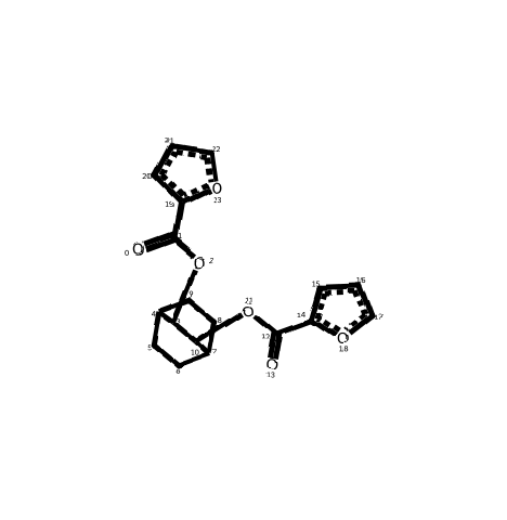 O=C(OC1C2CCC(CC2)C1OC(=O)c1ccco1)c1ccco1